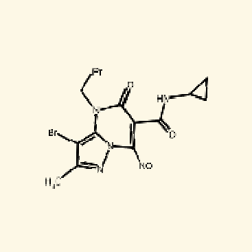 Cc1nn2c(N=O)c(C(=O)NC3CC3)c(=O)n(CC(C)C)c2c1Br